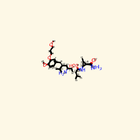 COCCCOc1cc(C[C@@H](C[C@H](N)[C@@H](O)C[C@H](C(=O)NC2C(C)C2C(N)=O)C(C)C)C(C)C)ccc1OC